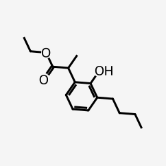 CCCCc1cccc(C(C)C(=O)OCC)c1O